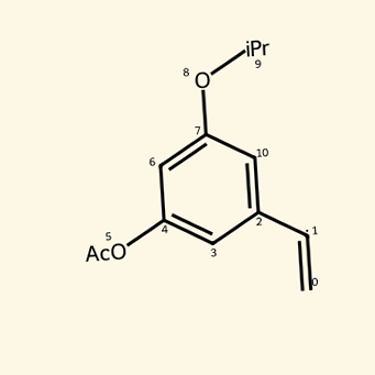 C=[C]c1cc(OC(C)=O)cc(OC(C)C)c1